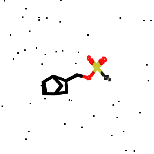 O=S(=O)(OCC1CC2C=CC1C2)C(F)(F)F